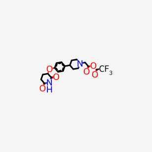 O=C1CC[C@@H](Oc2ccc(C3CCN(CC(=O)OC(=O)C(F)(F)F)CC3)cc2)C(=O)N1